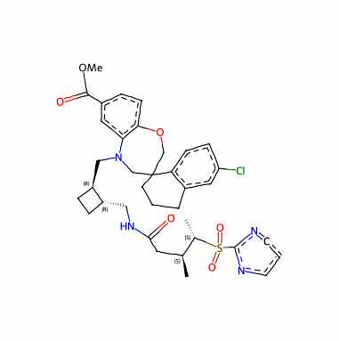 COC(=O)c1ccc2c(c1)N(C[C@@H]1CC[C@H]1CNC(=O)C[C@H](C)[C@H](C)S(=O)(=O)c1ncccn1)CC1(CCCc3cc(Cl)ccc31)CO2